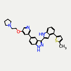 Cc1ccc(-c2cccc3[nH]c(-c4n[nH]c5ccc(-c6cncc(OCCN7CCCC7)c6)cc45)cc23)s1